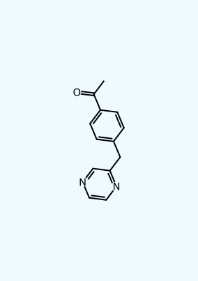 CC(=O)c1ccc(Cc2cnccn2)cc1